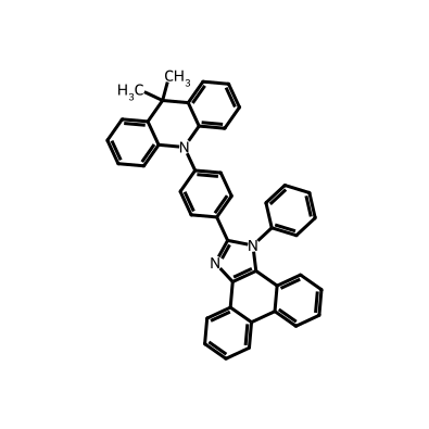 CC1(C)c2ccccc2N(c2ccc(-c3nc4c5ccccc5c5ccccc5c4n3-c3ccccc3)cc2)c2ccccc21